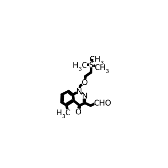 Cc1cccc2c1c(=O)c(CC=O)nn2COCCS(C)(C)C